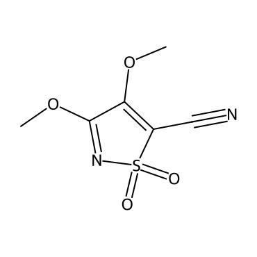 COC1=NS(=O)(=O)C(C#N)=C1OC